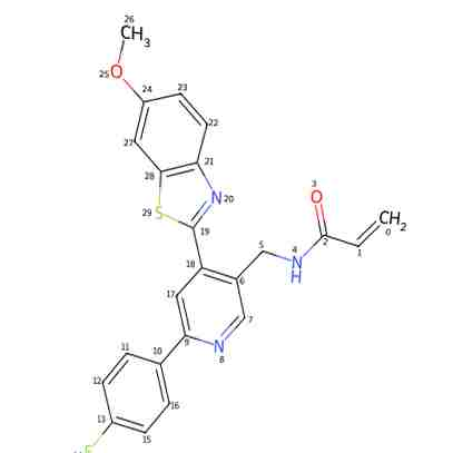 C=CC(=O)NCc1cnc(-c2ccc(F)cc2)cc1-c1nc2ccc(OC)cc2s1